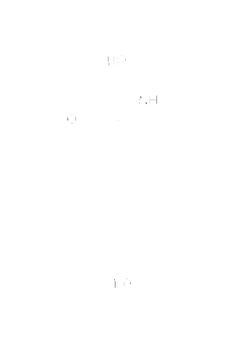 O=C(NO)c1ccc(CO)cc1